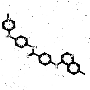 Cc1ccc2c(Nc3ccc(C(=O)Nc4ccc(Nc5cc[n+](C)cc5)cc4)cc3)ccnc2c1